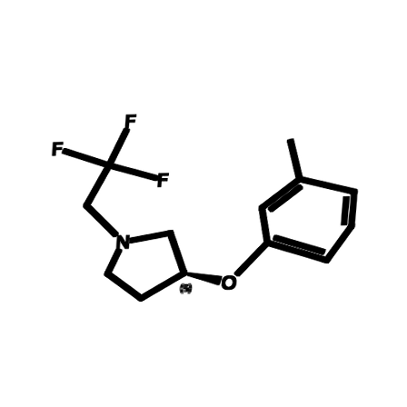 Cc1cccc(O[C@H]2CCN(CC(F)(F)F)C2)c1